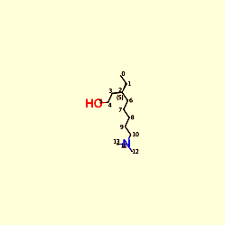 CC[C@H](CCO)CCCCCN(C)C